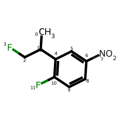 C[C](CF)c1cc([N+](=O)[O-])ccc1F